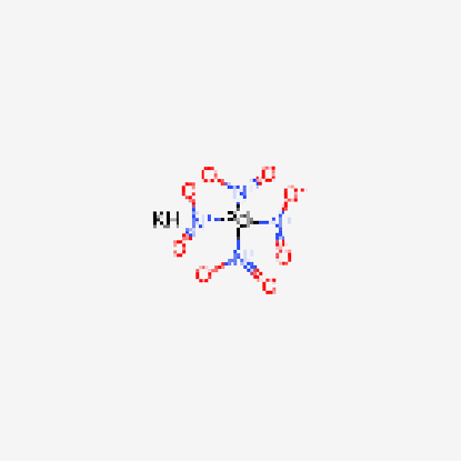 O=[N+]([O-])[Pd]([N+](=O)[O-])([N+](=O)[O-])[N+](=O)[O-].[KH]